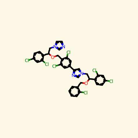 Clc1ccc(C(Cn2cnc(-c3cc(Cl)c(COC(Cn4ccnc4)c4ccc(Cl)cc4Cl)c(Cl)c3)c2)OCc2ccccc2Cl)c(Cl)c1